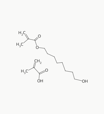 C=C(C)C(=O)O.C=C(C)C(=O)OCCCCCCCCO